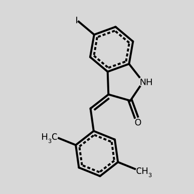 Cc1ccc(C)c(C=C2C(=O)Nc3ccc(I)cc32)c1